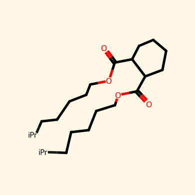 CC(C)CCCCCOC(=O)C1CCCCC1C(=O)OCCCCCC(C)C